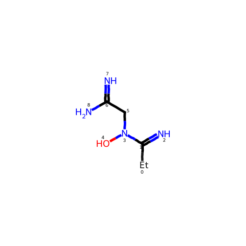 CCC(=N)N(O)CC(=N)N